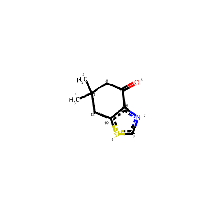 CC1(C)CC(=O)c2n[c]sc2C1